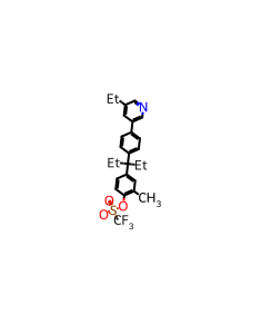 CCc1cncc(-c2ccc(C(CC)(CC)c3ccc(OS(=O)(=O)C(F)(F)F)c(C)c3)cc2)c1